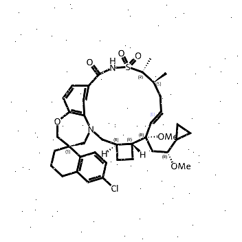 CO[C@H](C[C@]1(OC)/C=C/C[C@H](C)[C@@H](C)S(=O)(=O)NC(=O)c2ccc3c(c2)N(C[C@@H]2CC[C@H]21)C[C@@]1(CCCc2cc(Cl)ccc21)CO3)C1CC1